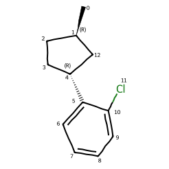 C[C@@H]1CC[C@@H](c2ccccc2Cl)C1